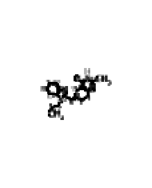 CCCn1c(CN2CCc3nc(C)[nH]c(=O)c3C2)nc2ccccc21